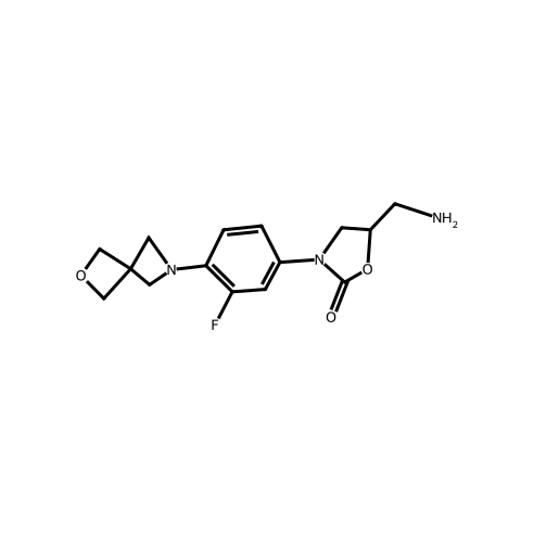 NCC1CN(c2ccc(N3CC4(COC4)C3)c(F)c2)C(=O)O1